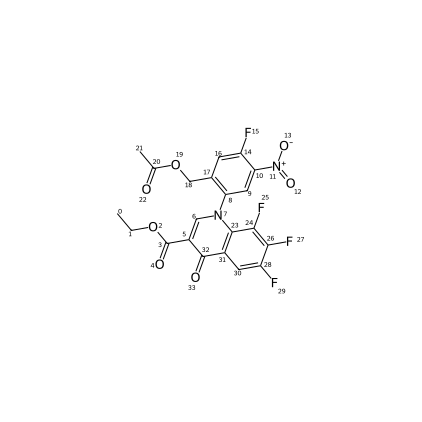 CCOC(=O)c1cn(-c2cc([N+](=O)[O-])c(F)cc2COC(C)=O)c2c(F)c(F)c(F)cc2c1=O